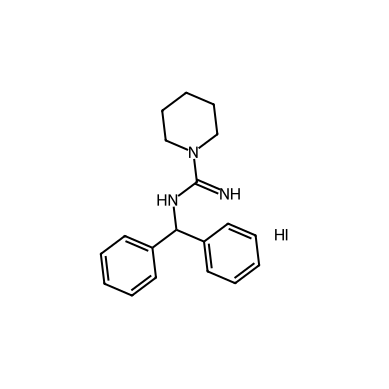 I.N=C(NC(c1ccccc1)c1ccccc1)N1CCCCC1